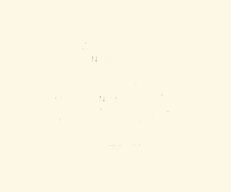 O=C(O)C=Cc1ccccc1C(F)(F)F.O=C(O)Cc1ccc([N+](=O)[O-])cc1[N+](=O)[O-]